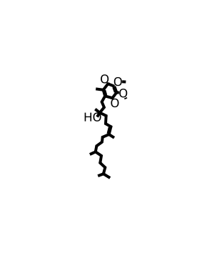 COC1=C(OC)C(=O)C(CCC(C)(O)CCC=C(C)CCCC(C)CCCC(C)C)=C(C)C1=O